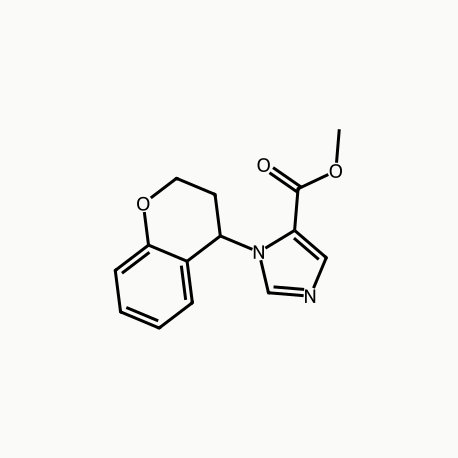 COC(=O)c1cncn1C1CCOc2ccccc21